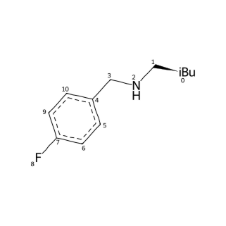 CC[C@H](C)CNCc1ccc(F)cc1